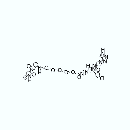 NC1(C(=O)N[C@@H](CCN2CCN(C(=O)CCOCCOCCOCCOCCOCCNc3cccc4c3CN(C3CCC(=O)NC3=O)C4=O)CC2)c2ccc(Cl)cc2)CCN(c2ncnc3[nH]ccc23)CC1